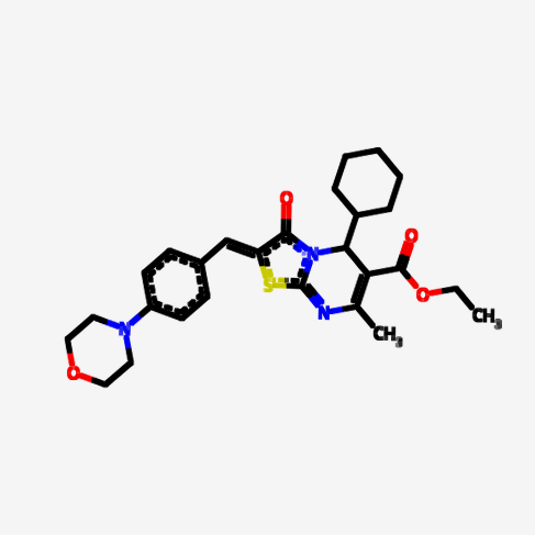 CCOC(=O)C1=C(C)N=c2s/c(=C\c3ccc(N4CCOCC4)cc3)c(=O)n2C1C1CCCCC1